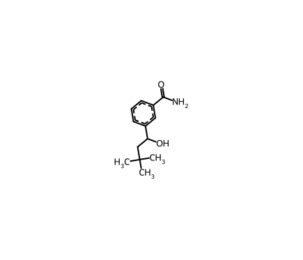 CC(C)(C)CC(O)c1cccc(C(N)=O)c1